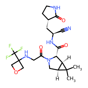 CC1(C)[C@@H]2[C@@H](C(=O)N[C@H](C#N)C[C@@H]3CCNC3=O)N(C(=O)CNC3(C(F)(F)F)COC3)C[C@@H]21